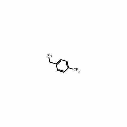 FC(F)(F)c1ccc([CH2][Zn])cc1